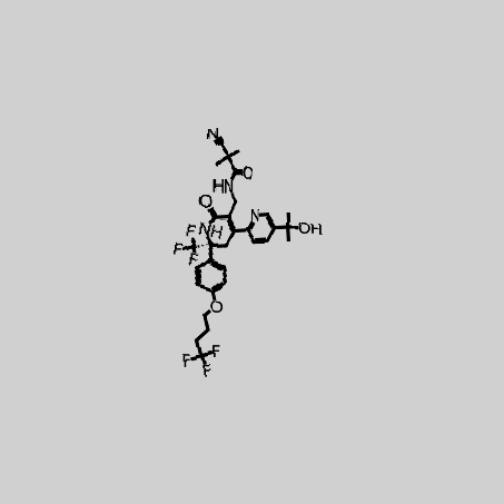 CC(C)(C#N)C(=O)NCC1=C(c2ccc(C(C)(C)O)cn2)C[C@](c2ccc(OCCCC(F)(F)F)cc2)(C(F)(F)F)NC1=O